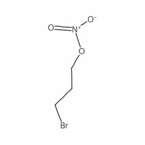 O=[N+]([O-])OCCCBr